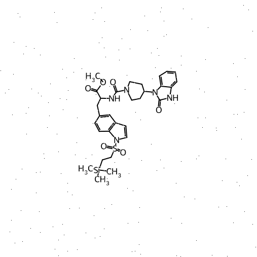 COC(=O)C(Cc1ccc2c(ccn2S(=O)(=O)CC[Si](C)(C)C)c1)NC(=O)N1CCC(n2c(=O)[nH]c3ccccc32)CC1